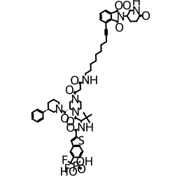 CC(C)(C)C(NC(=O)c1cc2cc(C(F)(F)P(=O)(O)O)ccc2s1)C(=O)N1CCN(C(=O)CC(=O)NCCCCCCCCC#Cc2cccc3c2C(=O)N(C2CCC(=O)NC2=O)C3=O)C[C@H]1C(=O)N1CCC[C@H](c2ccccc2)C1